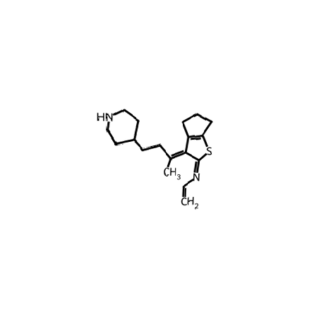 C=C/N=C1/SC2=C(CCC2)/C1=C(/C)CCC1CCNCC1